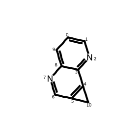 c1cnc2c3c(cnc2c1)C3